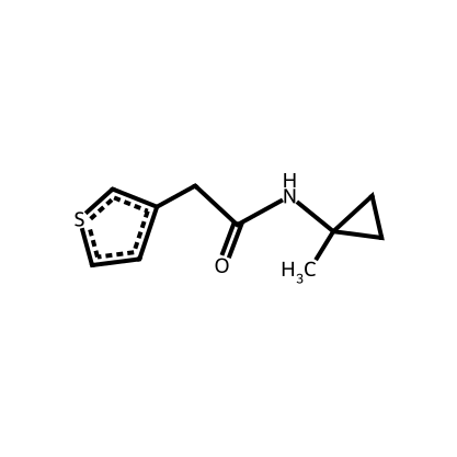 CC1(NC(=O)Cc2ccsc2)CC1